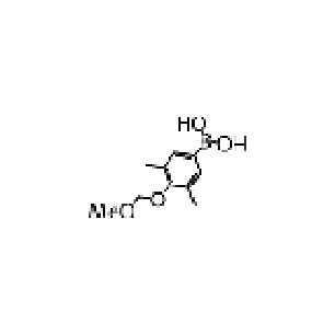 COCOc1c(C)cc(B(O)O)cc1C